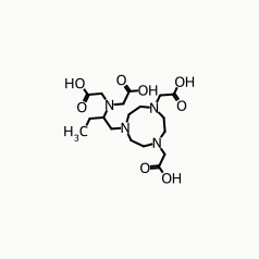 CCC(CN1CCN(CC(=O)O)CCN(CC(=O)O)CC1)N(CC(=O)O)CC(=O)O